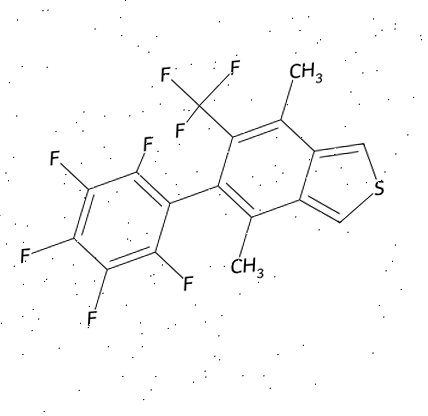 Cc1c(-c2c(F)c(F)c(F)c(F)c2F)c(C(F)(F)F)c(C)c2cscc12